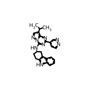 CC(C)c1cnn2c(N[C@@H]3CCc4[nH]c5ccccc5c4C3)nc(-c3ccnnc3)nc12